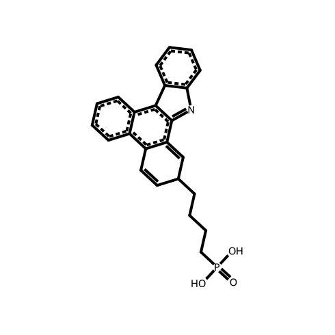 O=P(O)(O)CCCCC1C=Cc2c(c3c(c4ccccc24)-c2ccccc2N=3)=C1